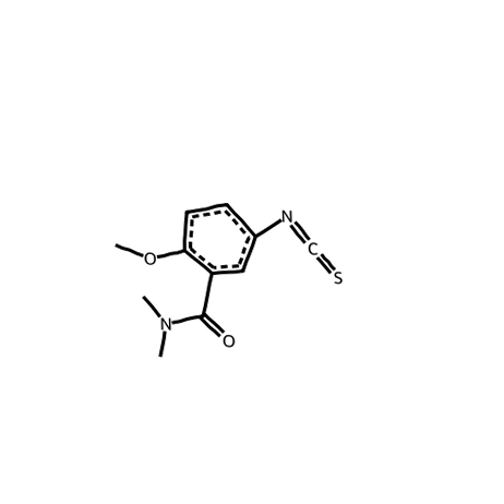 COc1ccc(N=C=S)cc1C(=O)N(C)C